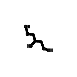 OOCC(O)COO